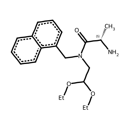 CCOC(CN(Cc1cccc2ccccc12)C(=O)[C@H](C)N)OCC